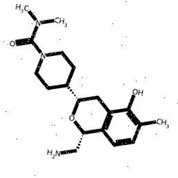 Cc1ccc2c(c1O)C[C@@H](C1CCN(C(=O)N(C)C)CC1)O[C@H]2CN